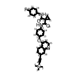 C[Si](C)(C)C#Cc1ccc2c(Oc3ccc(NC(=O)C4(C(=O)Nc5ccc(F)cc5)CC4)cc3)ccnc2c1